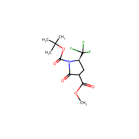 COC(=O)C1C[C@H](C(F)(F)F)N(C(=O)OC(C)(C)C)C1=O